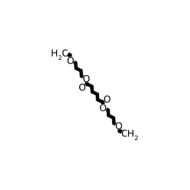 C=COCCCCOC(=O)CCCCC(=O)OCCCCOC=C